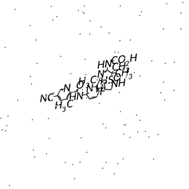 Cc1cc(C#N)cnc1C(=O)Nc1ccc(F)c([C@@]2(C)N=C(NC(=O)O)C(C)(C)[SH]3(=O)NCC[C@@H]23)n1